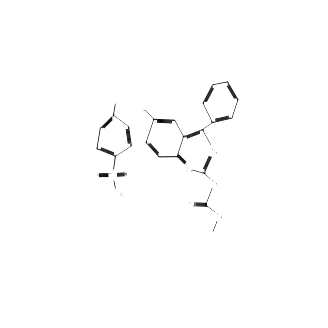 CNC(=N)Nc1nc(-c2ccccc2)c2cc(Cl)ccc2n1.Cc1ccc(S(=O)(=O)O)cc1